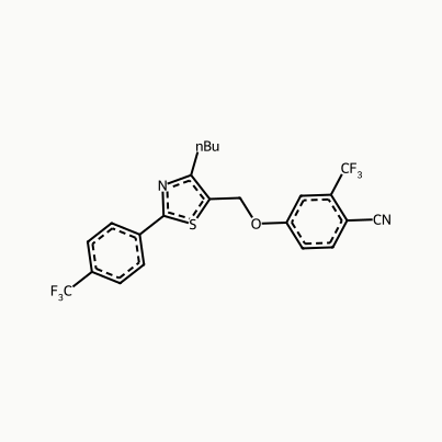 CCCCc1nc(-c2ccc(C(F)(F)F)cc2)sc1COc1ccc(C#N)c(C(F)(F)F)c1